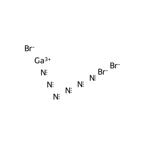 [Br-].[Br-].[Br-].[Ga+3].[N].[N].[N].[N].[N].[N]